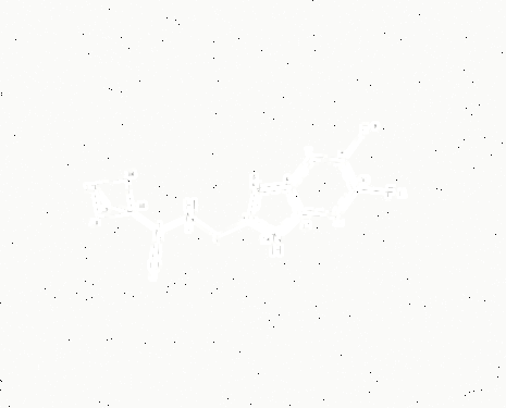 O=C(NCc1nc2cc(F)c(F)cc2[nH]1)C12CC(C1)C2